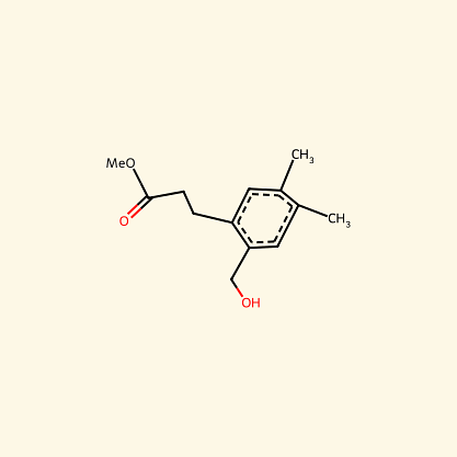 COC(=O)CCc1cc(C)c(C)cc1CO